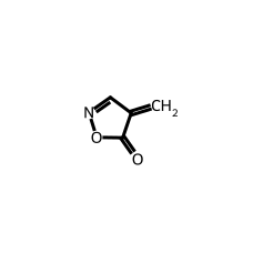 C=C1C=NOC1=O